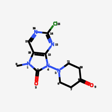 Cn1c(=O)n(N2CCC(=O)CC2)c2nc(Cl)ncc21